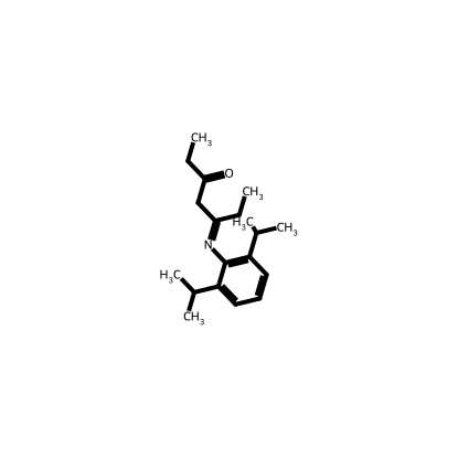 CCC(=O)CC(CC)=Nc1c(C(C)C)cccc1C(C)C